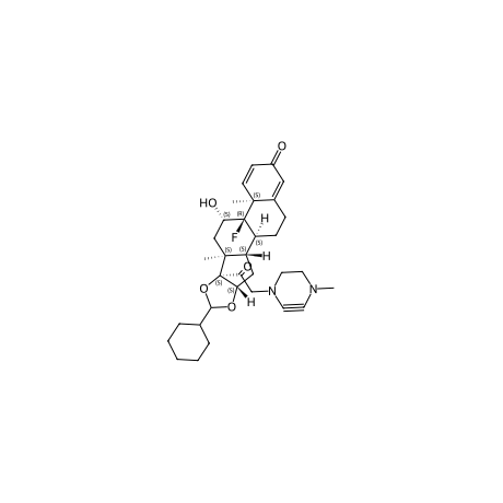 CN1C#CN(CC(=O)[C@@]23OC(C4CCCCC4)O[C@H]2C[C@H]2[C@@H]4CCC5=CC(=O)C=C[C@]5(C)[C@@]4(F)[C@@H](O)C[C@@]23C)CC1